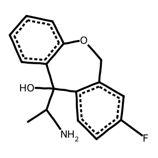 CC(N)C1(O)c2ccc(F)cc2COc2ccccc21